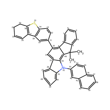 CC1(C)c2ccccc2-c2c(-c3ccc4sc5c(c4c3)C=CCC5)cc3c4ccccc4n(-c4ccc5ccccc5c4)c3c21